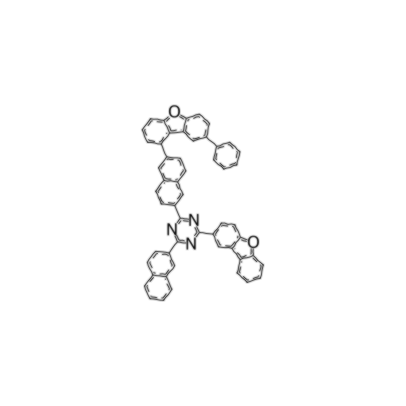 c1ccc(-c2ccc3oc4cccc(-c5ccc6cc(-c7nc(-c8ccc9ccccc9c8)nc(-c8ccc9oc%10ccccc%10c9c8)n7)ccc6c5)c4c3c2)cc1